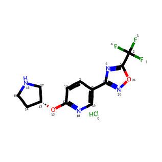 Cl.FC(F)(F)c1nc(-c2ccc(O[C@@H]3CCNC3)nc2)no1